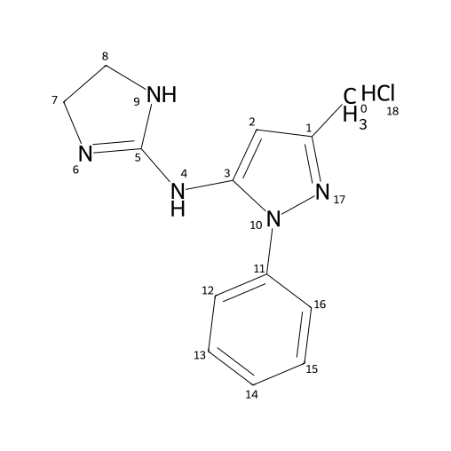 Cc1cc(NC2=NCCN2)n(-c2ccccc2)n1.Cl